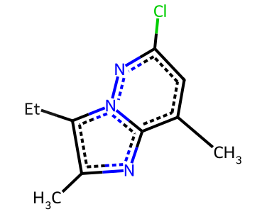 CCc1c(C)nc2c(C)cc(Cl)nn12